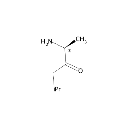 CC(C)CC(=O)[C@H](C)N